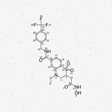 CCN1CC(CC(=O)NO)S(=O)(=O)c2ccc(C(=O)NCc3ccc(C(F)(F)F)cc3)cc21